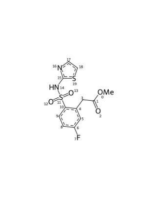 COC(=O)Cc1cc(F)ccc1S(=O)(=O)Nc1nccs1